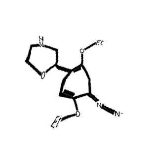 CCOC1=CC(C2CNCCO2)=C(OCC)CC1=[N+]=[N-]